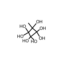 CC1(O)C(O)(O)C(O)(O)C1(O)O